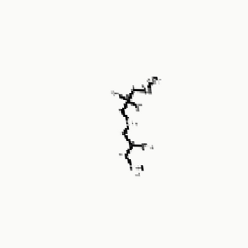 CC(C)NCC(F)(F)COCC(F)CO